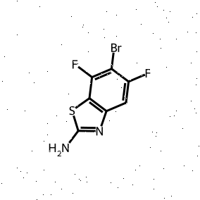 Nc1nc2cc(F)c(Br)c(F)c2s1